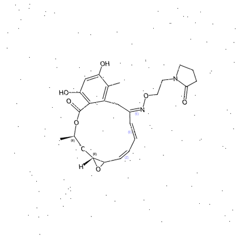 Cc1c(O)cc(O)c2c1CC(=N\OCCN1CCCC1=O)/C=C/C=C\C1O[C@@H]1C[C@@H](C)OC2=O